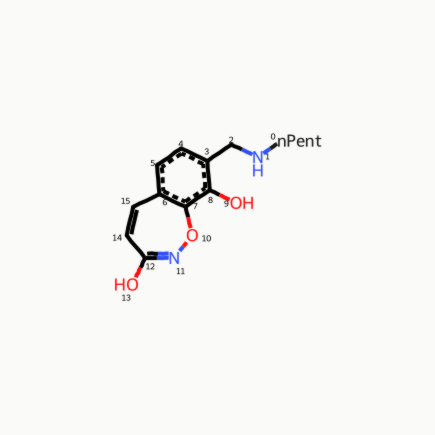 CCCCCNCc1ccc2c(c1O)ON=C(O)C=C2